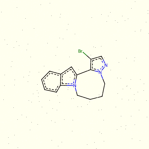 Brc1cnn2c1-c1cc3ccccc3n1CCCC2